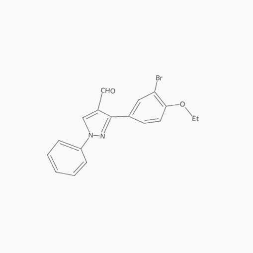 CCOc1ccc(-c2nn(-c3ccccc3)cc2C=O)cc1Br